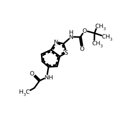 CCC(=O)Nc1ccc2nc(NC(=O)OC(C)(C)C)sc2c1